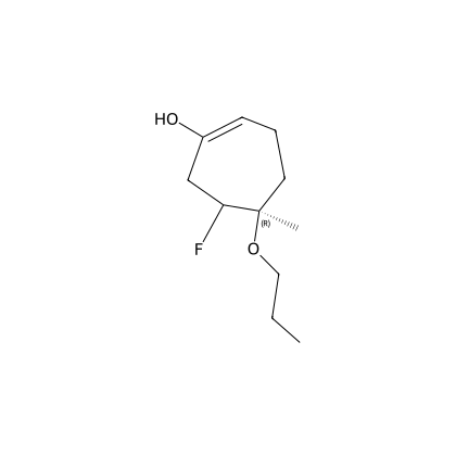 CCCO[C@]1(C)CCC=C(O)CC1F